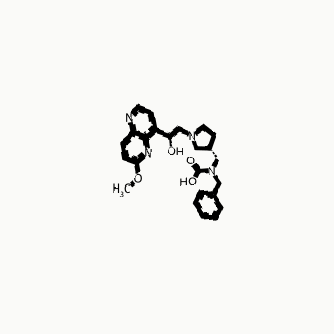 COc1ccc2nccc([C@H](O)CN3CC[C@H](CN(Cc4ccccc4)C(=O)O)C3)c2n1